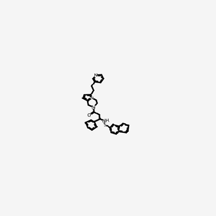 O=C(CC(NSc1ccc2ccccc2c1)c1ccccc1)N1CCn2c(CCc3cccnc3)ccc2C1